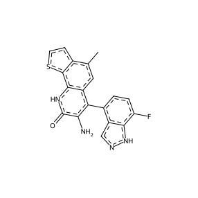 Cc1cc2c(-c3ccc(F)c4[nH]ncc34)c(N)c(=O)[nH]c2c2sccc12